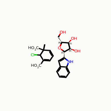 CC1(C(=O)O)C=CC=C(C(=O)O)C1Cl.OC[C@H]1O[C@@H](c2cc3ccccc3[nH]2)[C@H](O)[C@@H]1O